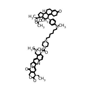 CC[C@H]1C(=O)OCc2c1cc1n(c2=O)Cc2cc3c(CN(C)C)c(OC(=O)N4CCN(CCCCCCN(C)c5ccc([C@H]6C[C@@]7(C)C(CC[C@]7(OC(C)=O)C(C)=O)[C@@H]7CCC8=CC(=O)CCC8=C76)cc5)CC4)ccc3nc2-1